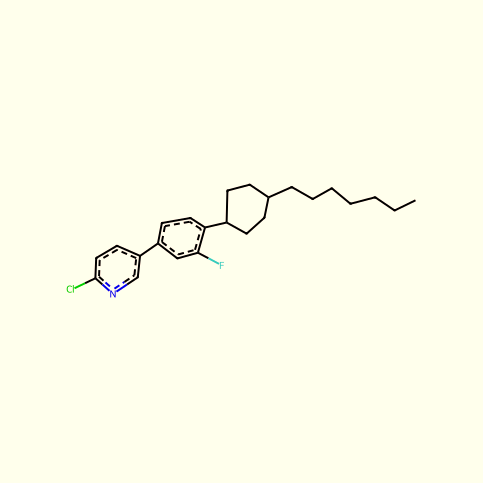 CCCCCCCC1CCC(c2ccc(-c3ccc(Cl)nc3)cc2F)CC1